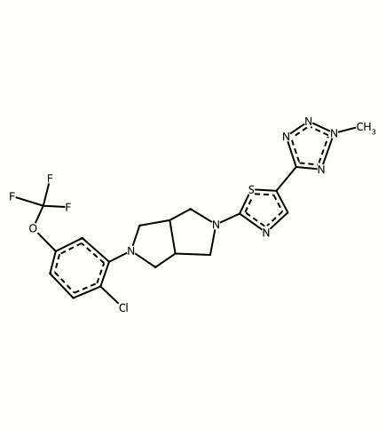 Cn1nnc(-c2cnc(N3CC4CN(c5cc(OC(F)(F)F)ccc5Cl)CC4C3)s2)n1